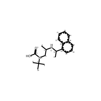 CC(CN(C(=O)O)C(C)(C)C)NC(C)c1cccc2ccccc12